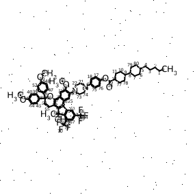 CCCCCC1CCC(C2CCC(C(=O)Oc3ccc(N4CCN(c5cc6c7c(c8c(c6cc5OC)OC(c5ccc(OC)cc5)(c5ccc(OC)cc5)C=C8)C(C)(C)c5c-7cc(C(F)(F)F)cc5C(F)(F)F)CC4)cc3)CC2)CC1